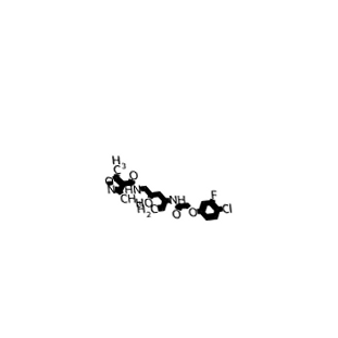 C=CC(CC(O)CNC(=O)c1c(C)noc1C)NC(=O)COc1ccc(Cl)c(F)c1